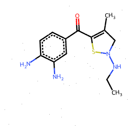 CCNN1CC(C)=C(C(=O)c2ccc(N)c(N)c2)S1